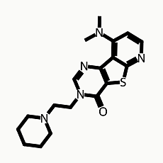 CN(C)c1ccnc2sc3c(=O)n(CCN4CCCCC4)cnc3c12